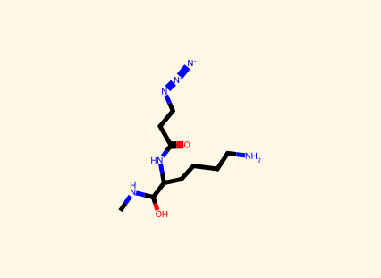 CNC(O)C(CCCCN)NC(=O)CCN=[N+]=[N-]